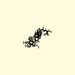 CC[C@H](/C=C/[C@@H](C)[C@H]1CC[C@H]2[C@@H]3CC=C4C[C@@H](OC5O[C@H](CO)C(O)[C@H](O)[C@H]5N)CC[C@]4(C)[C@H]3CC[C@]12C)C(C)C